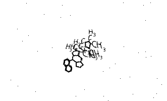 CC1CC2C(CC3CCCC3C2c2cccc3ccccc23)C1[Si](C)(C)C1C(C)C(C)C(C)C1C